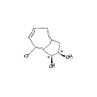 O[C@@H]1Cc2cccc(Cl)c2[C@@H]1O